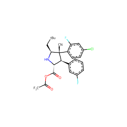 CC(C)(C)C[C@@H]1N[C@@H](C(=O)OC(=O)C(F)(F)F)[C@H](c2cccc(F)c2)[C@@]1(C#N)c1ccc(Cl)cc1F